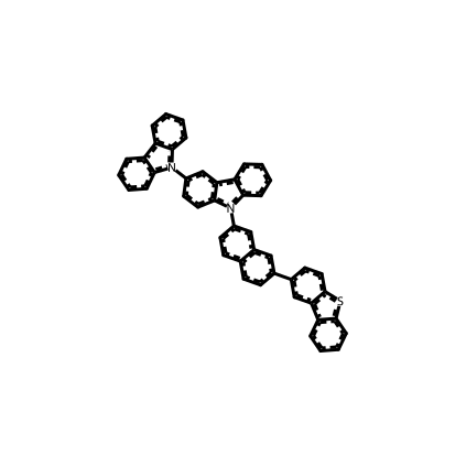 c1ccc2c(c1)sc1ccc(-c3ccc4ccc(-n5c6ccccc6c6cc(-n7c8ccccc8c8ccccc87)ccc65)cc4c3)cc12